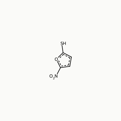 O=[N+]([O-])c1ccc(S)o1